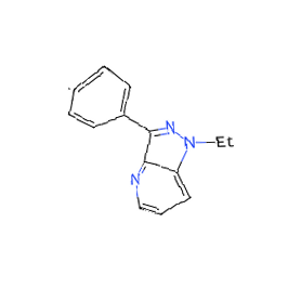 CCn1nc(-c2cc[c]cc2)c2ncccc21